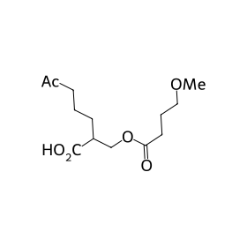 COCCCC(=O)OCC(CCCC(C)=O)C(=O)O